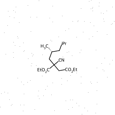 CCOC(=O)CC(C#N)(C[C@H](C)CC(C)C)C(=O)OCC